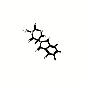 CC1(N2C(=O)c3c(F)c(F)c(F)c(F)c3C2=O)C(=O)NC(=O)N(P)C1=O